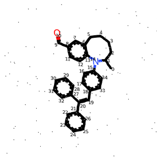 CC1CCCCc2cc(C=O)ccc2N1c1ccc(C=C(c2ccccc2)c2ccccc2)cc1